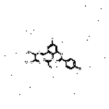 COC(=O)C(N=Cc1cc(Cl)cc(OC(=O)c2ccc(C)cc2)c1OC(=O)C(C)C)C(C)C